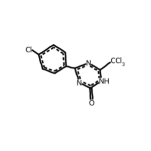 O=c1nc(-c2ccc(Cl)cc2)nc(C(Cl)(Cl)Cl)[nH]1